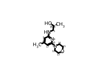 Cc1cc(NC[C@@H](C)O)nc(N2CCOCC2)c1